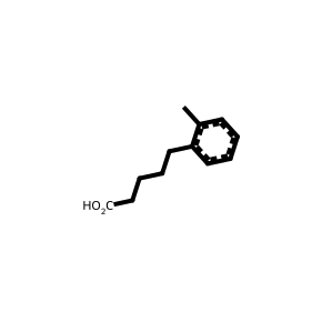 Cc1ccccc1CCCCC(=O)O